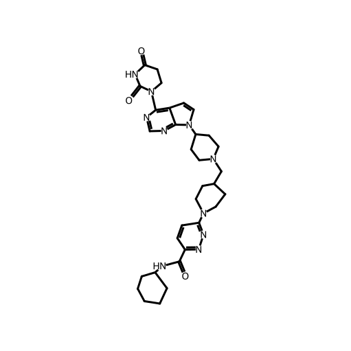 O=C1CCN(c2ncnc3c2ccn3C2CCN(CC3CCN(c4ccc(C(=O)NC5CCCCC5)nn4)CC3)CC2)C(=O)N1